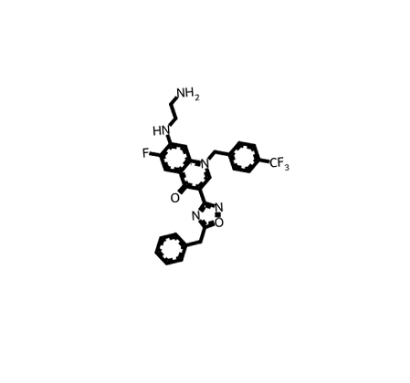 NCCNc1cc2c(cc1F)c(=O)c(-c1noc(Cc3ccccc3)n1)cn2Cc1ccc(C(F)(F)F)cc1